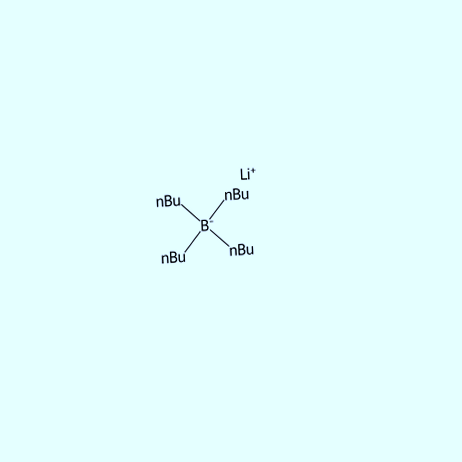 CCCC[B-](CCCC)(CCCC)CCCC.[Li+]